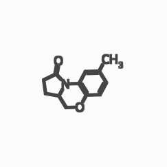 Cc1ccc2c(c1)N1C(=O)CCC1CO2